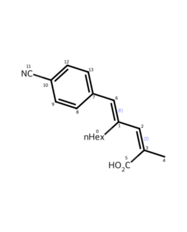 CCCCCCC(/C=C(/C)C(=O)O)=C\c1ccc(C#N)cc1